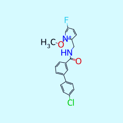 CO[n+]1cc(F)ccc1CNC(=O)c1cccc(-c2ccc(Cl)cc2)c1